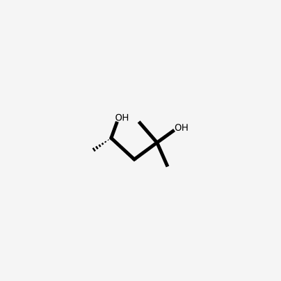 C[C@H](O)CC(C)(C)O